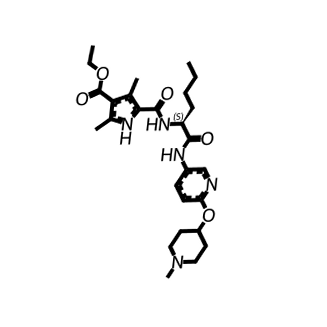 CCCC[C@H](NC(=O)c1[nH]c(C)c(C(=O)OCC)c1C)C(=O)Nc1ccc(OC2CCN(C)CC2)nc1